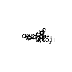 Cc1nc2c(c(C)c(C)n2Cc2ccc(Cl)cc2)c(-c2ccc(Cl)cc2)c1C(OC(C)(C)C)C(=O)O